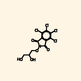 O=C1c2c(Cl)c(Cl)c(Cl)c(Cl)c2C(=O)N1OCC(O)CO